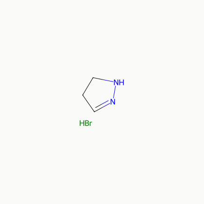 Br.C1=NNCC1